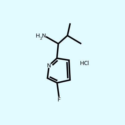 CC(C)C(N)c1ccc(F)cn1.Cl